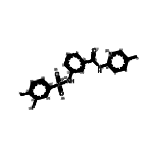 Cc1ccc(NC(=O)c2cccc(NS(=O)(=O)c3ccc(C)c(F)c3)c2)nc1